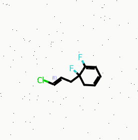 FC1=CC=CCC1(F)C/C=C/Cl